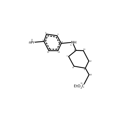 CCCc1ccc(NC2CCC(CC(=O)OCC)CC2)cc1